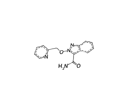 NC(=O)c1c2ccccc2nn1OCc1ccccn1